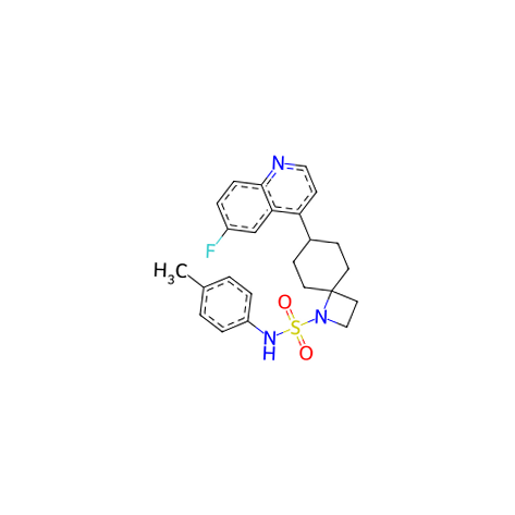 Cc1ccc(NS(=O)(=O)N2CCC23CCC(c2ccnc4ccc(F)cc24)CC3)cc1